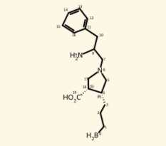 BCCC[C@H]1CN(CC(N)Cc2ccccc2)C[C@H]1C(=O)O